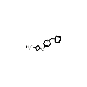 C[C@H]1C[C@@H](OC2=CCN(Cc3ccccc3)CC2)C1